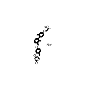 Cc1cc(OC[C@H](C)O)ccc1-c1cccc(COc2ccc(Cn3oc(=O)[n-]c3=O)cc2)c1C.[Na+]